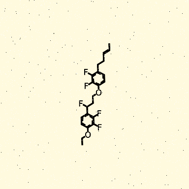 C/C=C/CCc1ccc(OCCC(F)c2ccc(OCC)c(F)c2F)c(F)c1F